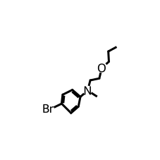 CCCOCCN(C)c1ccc(Br)cc1